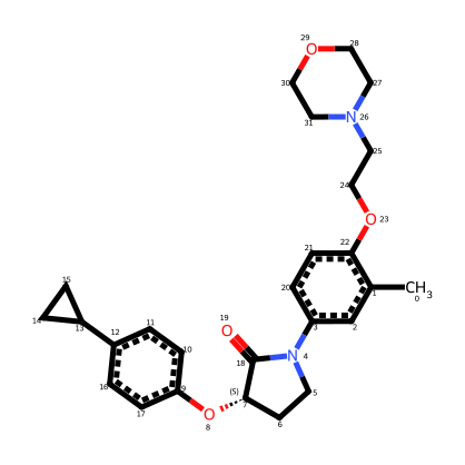 Cc1cc(N2CC[C@H](Oc3ccc(C4CC4)cc3)C2=O)ccc1OCCN1CCOCC1